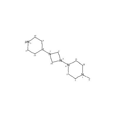 CN1CCN(N2CN(C3CCNCC3)C2)CC1